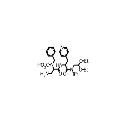 CCOC(CN(C(=O)C(Cc1ccncc1)NC(=O)C(CN)N(Cc1ccccc1)C(=O)O)C(C)C)OCC